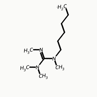 [CH2]CCCCCN(C)C(=NC)N(C)C